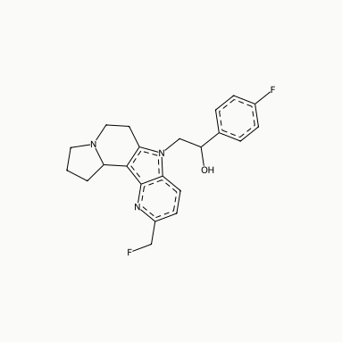 OC(Cn1c2c(c3nc(CF)ccc31)C1CCCN1CC2)c1ccc(F)cc1